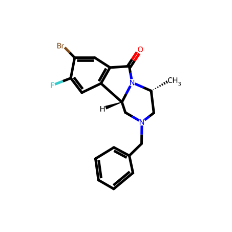 C[C@@H]1CN(Cc2ccccc2)C[C@@H]2c3cc(F)c(Br)cc3C(=O)N12